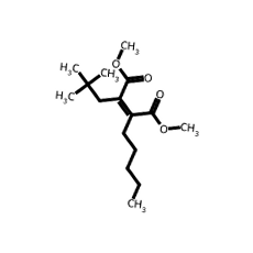 CCCCC/C(C(=O)OC)=C(\CC(C)(C)C)C(=O)OC